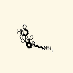 NCCCCCOc1cccc2c1C(=O)N(C1CCC(=O)NC1=O)C2=O